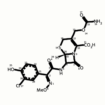 CON=C(C(=O)NC1C(=O)N2C(C(=O)O)=C(COC(N)=O)CS[C@@H]12)c1ccc(O)c(Cl)c1